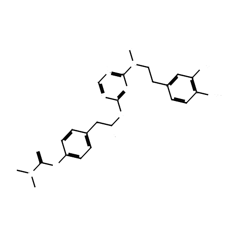 COc1ccc(CCN(C)c2ncnc(N[C@@H](Cc3ccc(OC(=O)N(C)C)cc3)C(=O)O)n2)cc1OC